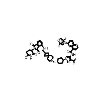 O=C1CCC(N2C(=O)c3cccc(NCC4CC5(CCN(C[C@H]6CC[C@H](n7cc(NC(=O)c8ccnc9ccc(N%10C[C@H]%11C[C@@H]%10CO%11)nc89)c(C(F)F)n7)CC6)CC5)C4)c3C2=O)C(=O)N1